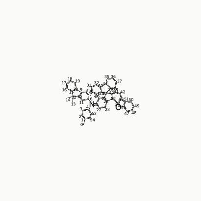 Cc1ccc(N(c2ccc3c(c2)C(C)(C)c2ccccc2-3)c2ccc3c(c2)C2(c4ccccc4-c4ccccc42)c2ccc4c(oc5ccccc54)c2-3)cc1